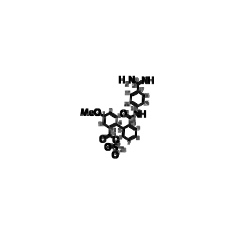 COc1ccc(-c2ccccc2C(=O)Nc2ccc(C(=N)N)cc2)c(C(=O)OS(C)(=O)=O)c1